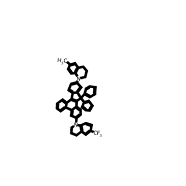 Cc1ccc2c(c1)CCCN2c1ccc2c(c1)C(c1ccccc1)(c1ccccc1)c1c-2c2ccccc2c2cc(N3CCCc4cc(C(F)(F)F)ccc43)ccc12